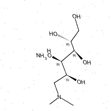 CN(C)C[C@H](O)[C@@H](O)[C@H](O)[C@H](O)CO.N